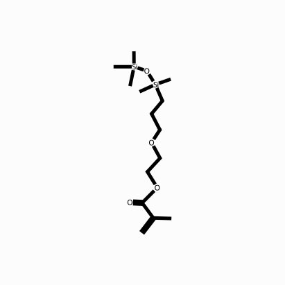 C=C(C)C(=O)OCCOCCC[Si](C)(C)O[Si](C)(C)C